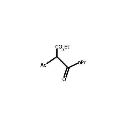 CCCC(=O)C(C(C)=O)C(=O)OCC